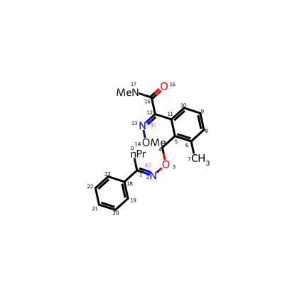 CCC/C(=N\OCc1c(C)cccc1/C(=N\OC)C(=O)NC)c1ccccc1